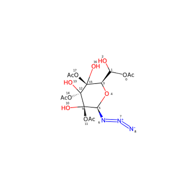 CC(=O)OC(O)[C@H]1O[C@@H](N=[N+]=[N-])[C@@](O)(OC(C)=O)[C@](O)(OC(C)=O)[C@@]1(O)OC(C)=O